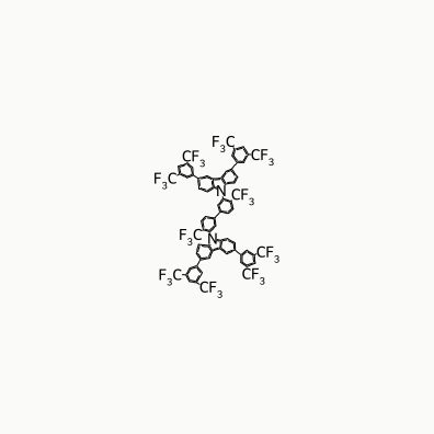 FC(F)(F)c1cc(-c2ccc3c(c2)c2cc(-c4cc(C(F)(F)F)cc(C(F)(F)F)c4)ccc2n3-c2cc(-c3ccc(C(F)(F)F)c(-n4c5ccc(-c6cc(C(F)(F)F)cc(C(F)(F)F)c6)cc5c5cc(-c6cc(C(F)(F)F)cc(C(F)(F)F)c6)ccc54)c3)ccc2C(F)(F)F)cc(C(F)(F)F)c1